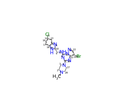 CN1CCN(c2nc(NCc3nc4cc(Cl)ccc4[nH]3)n3ncc(Br)c3n2)CC1